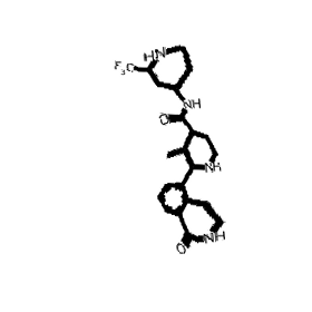 CC1C(C(=O)NC2CCNC(C(F)(F)F)C2)CCNC1c1cccc2c1CCNC2=O